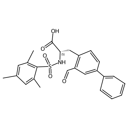 Cc1cc(C)c(S(=O)(=O)N[C@@H](Cc2ccc(-c3ccccc3)cc2C=O)C(=O)O)c(C)c1